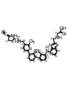 COc1nc(-c2cccc(-c3cccc(Nc4nccc5sc(CNCC(=O)O)nc45)c3Cl)c2Cl)ccc1CNC[C@@H]1CCC(=C=O)N1